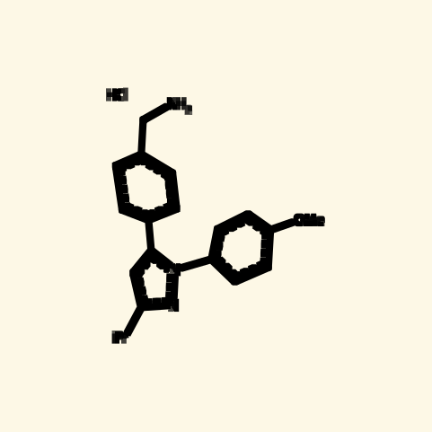 COc1ccc(-n2nc(C(C)C)cc2-c2ccc(CN)cc2)cc1.Cl